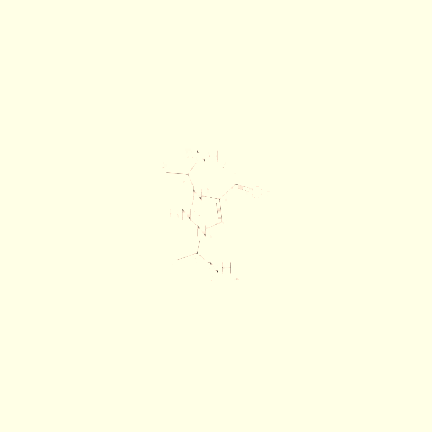 CC(N)N1C=C(C=O)N(C(C)N)N1